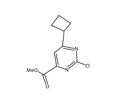 COC(=O)c1cc(C2CCC2)nc(Cl)n1